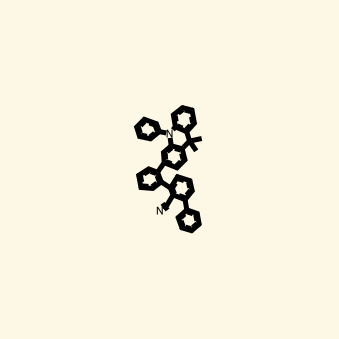 CC1(C)c2ccccc2N(c2ccccc2)c2cc(-c3ccccc3-c3cccc(-c4ccccc4)c3C#N)ccc21